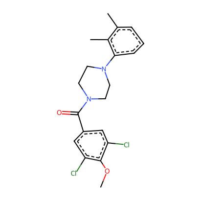 COc1c(Cl)cc(C(=O)N2CCN(c3cccc(C)c3C)CC2)cc1Cl